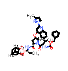 CC[C@H](NC(=O)[C@@H]1C[C@@H](Oc2cc(-n3ccc(C)n3)nc3ccccc23)CN1C(=O)[C@@H](NC(=O)OCc1ccccc1)C(C)C)B1OC2C[C@@H]3C[C@@H](C3(C)C)[C@]2(C)O1